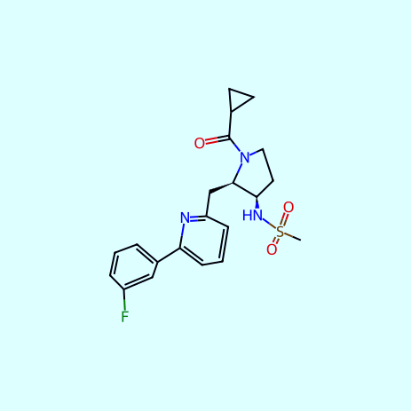 CS(=O)(=O)N[C@@H]1CCN(C(=O)C2CC2)[C@@H]1Cc1cccc(-c2cccc(F)c2)n1